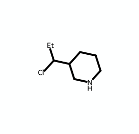 CCC(Cl)C1CCCNC1